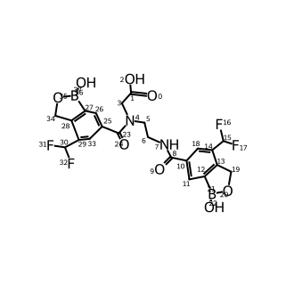 O=C(O)CN(CCNC(=O)c1cc2c(c(C(F)F)c1)COB2O)C(=O)c1cc2c(c(C(F)F)c1)COB2O